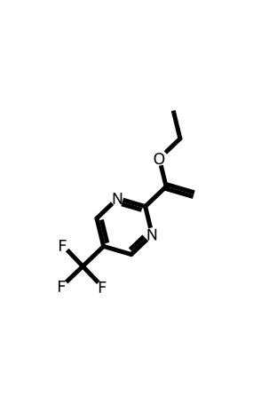 C=C(OCC)c1ncc(C(F)(F)F)cn1